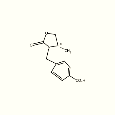 C[C@H]1COC(=O)N1Cc1ccc(C(=O)O)cc1